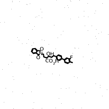 Cc1ccc(-c2ccc(CC[C@H](O)[C@@H](CCN3C(=O)c4ccccc4C3=O)C(=O)O)cc2)cc1F